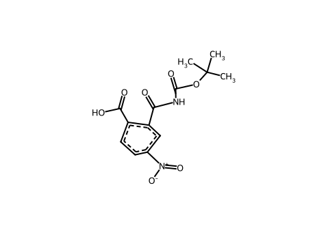 CC(C)(C)OC(=O)NC(=O)c1cc([N+](=O)[O-])ccc1C(=O)O